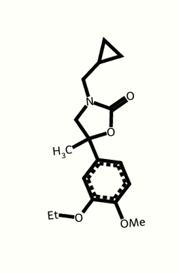 CCOc1cc(C2(C)CN(CC3CC3)C(=O)O2)ccc1OC